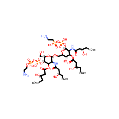 CCCCCCCCCCC[C@@H](O)CC(=O)NC1C(OC(=O)C[C@H](O)CCCCCCCCCCC)[C@H](O)C(CO[C@@H]2O[C@H](CO)[C@@H](OP(=O)(O)OP(=O)(O)OCCN)C(OC(=O)C[C@H](O)CCCCCCCCCCC)C2NC(=O)C[C@H](O)CCCCCCCCCCC)O[C@@H]1OP(=O)(O)OP(=O)(O)CCN